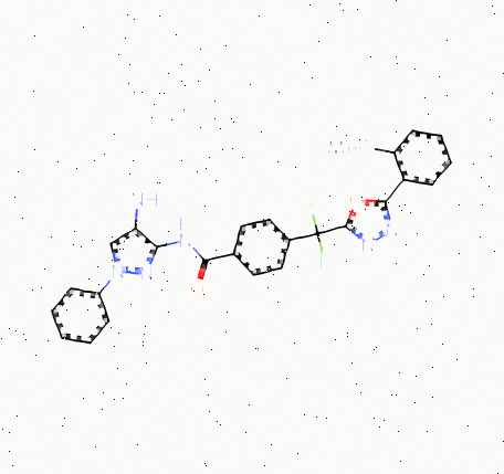 COc1ccccc1-c1nnc(C(F)(F)c2ccc(C(=O)Nc3nn(-c4ccccc4)cc3N)cc2)o1